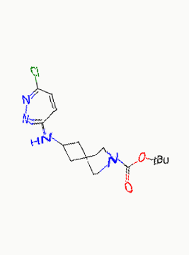 CC(C)(C)OC(=O)N1CC2(CC(Nc3ccc(Cl)nn3)C2)C1